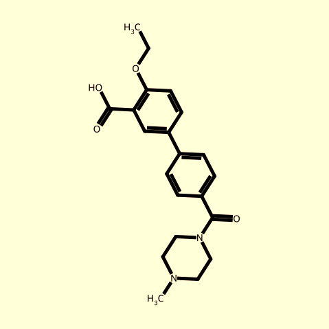 CCOc1ccc(-c2ccc(C(=O)N3CCN(C)CC3)cc2)cc1C(=O)O